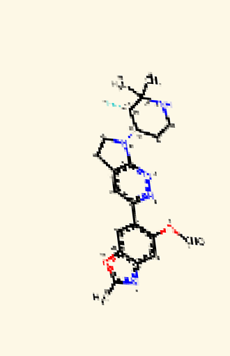 Cc1nc2cc(OC=O)c(-c3cc4c(nn3)N([C@H]3CCNC(C)(C)[C@H]3F)CC4)cc2o1